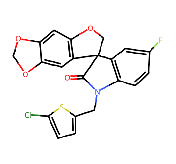 O=C1N(Cc2ccc(Cl)s2)c2ccc(F)cc2C12COc1cc3c(cc12)OCO3